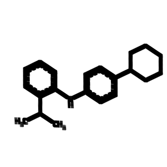 CC(C)c1ccccc1Nc1ccc(C2CCCCC2)cc1